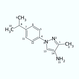 Cc1nn(-c2ccc(C(C)C)cc2)cc1N